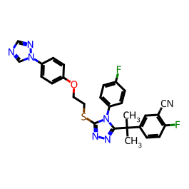 CC(C)(c1ccc(F)c(C#N)c1)c1nnc(SCCOc2ccc(-n3cncn3)cc2)n1-c1ccc(F)cc1